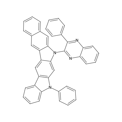 c1ccc(-c2nc3ccccc3nc2-n2c3cc4ccccc4cc3c3cc4c5ccccc5n(-c5ccccc5)c4cc32)cc1